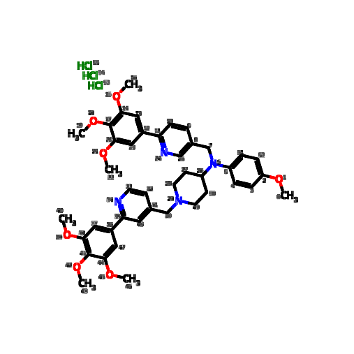 COc1ccc(N(Cc2ccc(-c3cc(OC)c(OC)c(OC)c3)nc2)C2CCN(Cc3ccnc(-c4cc(OC)c(OC)c(OC)c4)c3)CC2)cc1.Cl.Cl.Cl